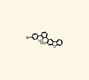 Oc1cc2oc3ccccc3c2cc1-c1cccc(-c2ccc(Br)cc2)c1O